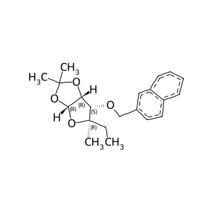 CC[C@@]1(C)O[C@@H]2OC(C)(C)O[C@@H]2[C@@H]1OCc1ccc2ccccc2c1